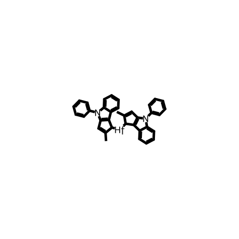 CC1=Cc2c(c3ccccc3n2-c2ccccc2)[CH]1[Hf][CH]1C(C)=Cc2c1c1ccccc1n2-c1ccccc1